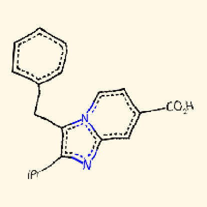 CC(C)c1nc2cc(C(=O)O)ccn2c1Cc1ccccc1